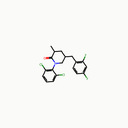 CC1CC(Cc2ccc(F)cc2F)CN(c2c(Cl)cccc2Cl)C1=O